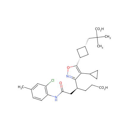 Cc1ccc(NC(=O)C[C@H](CCC(=O)O)c2noc([C@H]3C[C@@H](CC(C)(C)C(=O)O)C3)c2C2CC2)c(Cl)c1